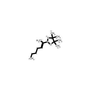 CCCCC=C(C)B1OC(C)(C)C(C)(C)O1